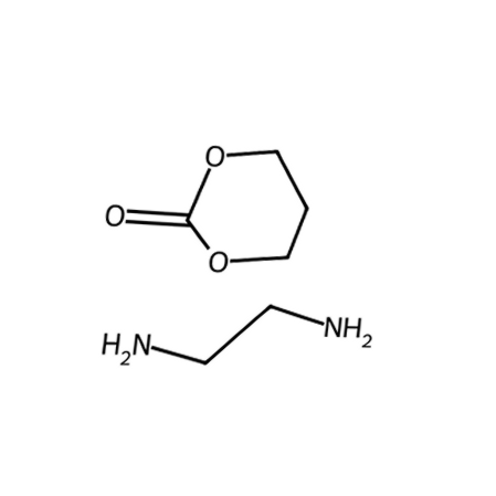 NCCN.O=C1OCCCO1